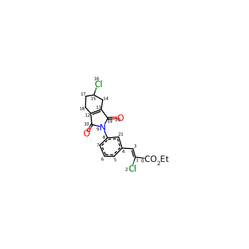 CCOC(=O)C(Cl)=Cc1cccc(N2C(=O)C3=C(CC(Cl)CC3)C2=O)c1